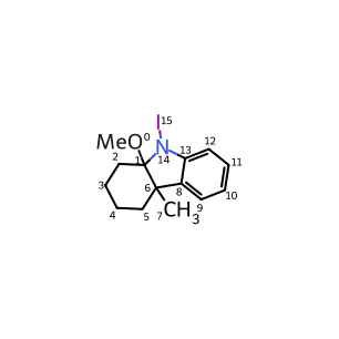 COC12CCCCC1(C)c1ccccc1N2I